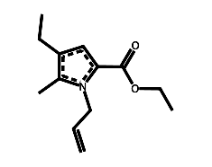 C=CCn1c(C(=O)OCC)cc(CC)c1C